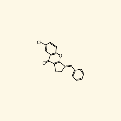 O=c1c2c(oc3ccc(Cl)cc13)C(=Cc1ccccc1)CC2